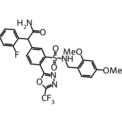 COc1ccc(CNS(=O)(=O)c2cc(C(C(N)=O)c3ccccc3F)ccc2-c2nnc(C(F)(F)F)o2)c(OC)c1